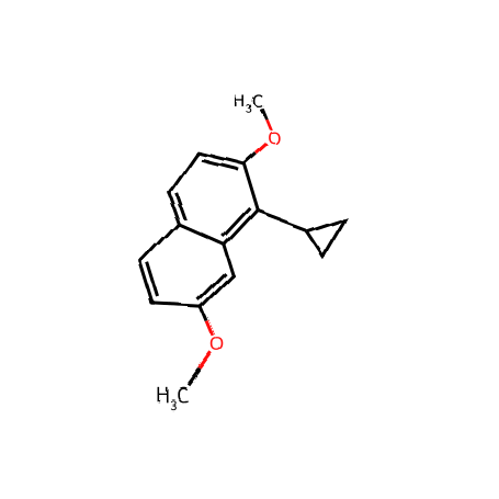 COc1ccc2ccc(OC)c(C3CC3)c2c1